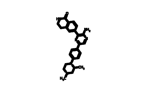 CC1CN(C)CCN1c1ccc(-c2cnc(N)c(-c3ccc4c(c3)CCNC4=O)n2)cc1